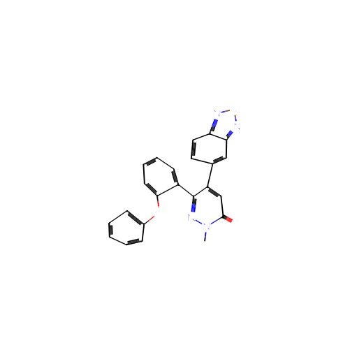 Cn1nc(-c2ccccc2Oc2ccccc2)c(-c2ccc3nsnc3c2)cc1=O